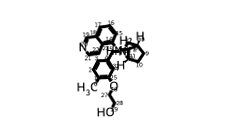 Cc1ccc(CN2C[C@@H]3CC[C@H]2[C@H]3Nc2cccc3cnccc23)cc1OCCO